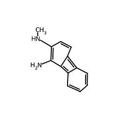 CNc1ccc2c(c1N)=c1ccccc1=2